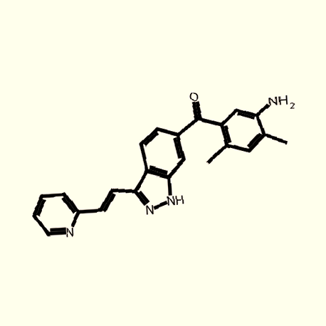 Cc1cc(C)c(C(=O)c2ccc3c(/C=C/c4ccccn4)n[nH]c3c2)cc1N